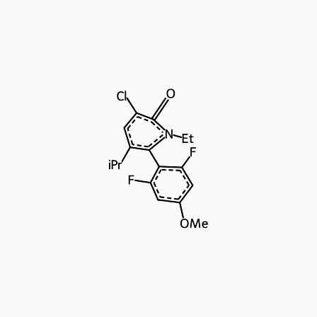 CCn1c(-c2c(F)cc(OC)cc2F)c(C(C)C)cc(Cl)c1=O